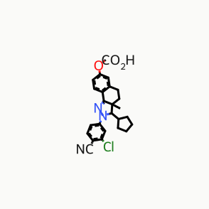 CC12CCc3cc(OC(=O)O)ccc3C1=NN(c1ccc(C#N)c(Cl)c1)C2C1CCCC1